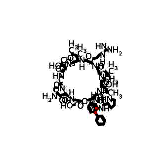 CC[C@H](C)[C@@H]1NC(=O)[C@@H](CCCNC(=N)N)NC(=O)[C@H](CC(C)C)NC(=O)[C@H]([C@H](O)C(C)C)NC(=O)[C@@H](NC(=O)[C@H](Cc2ccccc2)NC(=O)[C@H]2CCCN2)[C@@H](c2ccccc2)OC(=O)[C@H](CO)NC(=O)[C@H]([C@H](O)C(N)=O)NC(=O)CNC(=O)[C@H]([C@H](C)O)NC1=O